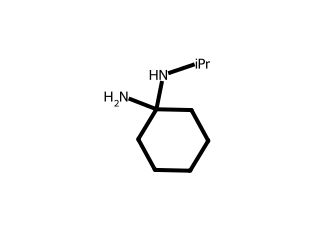 CC(C)NC1(N)CCCCC1